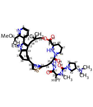 CCn1c(-c2cccnc2[C@H](C)OC)c2c3cc(ccc31)-c1csc(n1)C[C@H](NC(=O)C(C(C)C)N(C)C(=O)N1CC[C@H](N(C)C)C1)C(=O)N1CCC[C@H](N1)C(=O)OCC(C)(C)C2